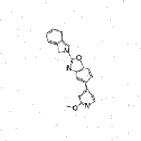 COc1cc(-c2ccc3oc(N4C=C5CC=CC=C5C4)nc3c2)ccn1